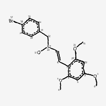 COc1cc(OC)c(/C=C/[S+]([O-])Cc2ccc(Br)cc2)c(OC)c1